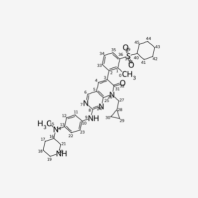 Cc1c(-c2cc3cnc(Nc4ccc(N(C)C5CCCNC5)cc4)nc3n(CC3CC3)c2=O)cccc1S(=O)(=O)C1CCCCC1